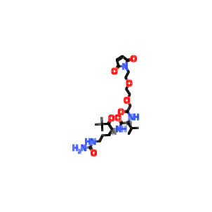 CC(C)[C@H](NC(=O)COCCOCCN1C(=O)C=CC1=O)C(=O)N[C@@H](CCCNC(N)=O)C(=O)C(C)(C)C